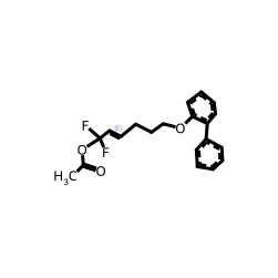 CC(=O)OC(F)(F)/C=C/CCCOc1ccccc1-c1ccccc1